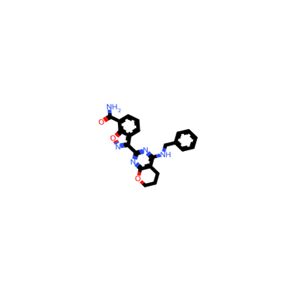 NC(=O)c1cccc2c(-c3nc(NCc4ccccc4)c4c(n3)OCCC4)noc12